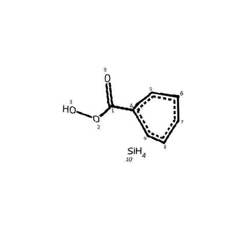 O=C(OO)c1ccccc1.[SiH4]